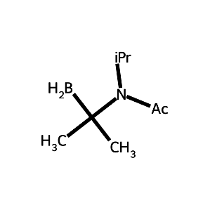 BC(C)(C)N(C(C)=O)C(C)C